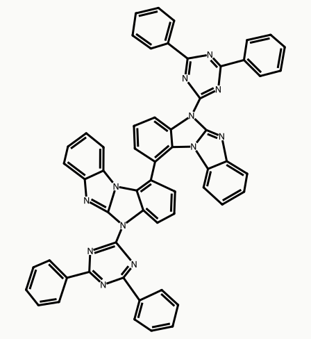 c1ccc(-c2nc(-c3ccccc3)nc(-n3c4cccc(-c5cccc6c5n5c7ccccc7nc5n6-c5nc(-c6ccccc6)nc(-c6ccccc6)n5)c4n4c5ccccc5nc34)n2)cc1